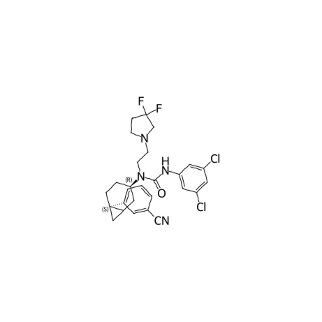 N#Cc1cccc([C@]23CC[C@@H](N(CCN4CCC(F)(F)C4)C(=O)Nc4cc(Cl)cc(Cl)c4)CC2C3)c1